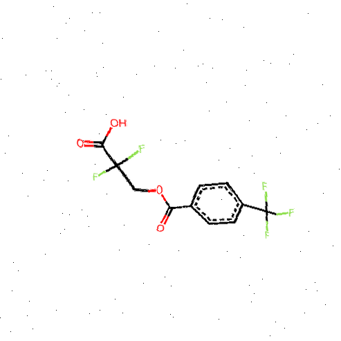 O=C(OCC(F)(F)C(=O)O)c1ccc(C(F)(F)F)cc1